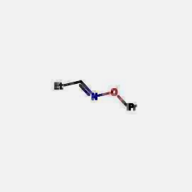 CC/C=N/OC(C)C